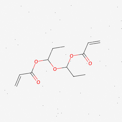 C=CC(=O)OC(CC)OC(CC)OC(=O)C=C